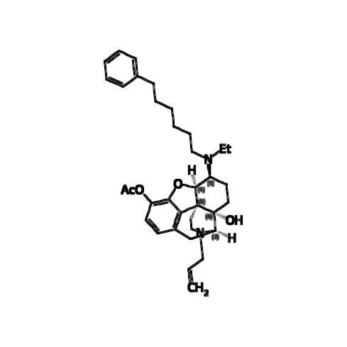 C=CCN1CC[C@]23c4c5ccc(OC(C)=O)c4O[C@H]2[C@@H](N(CC)CCCCCCc2ccccc2)CC[C@@]3(O)[C@H]1C5